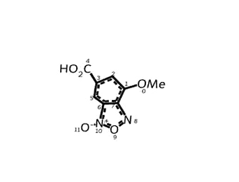 COc1cc(C(=O)O)cc2c1no[n+]2[O-]